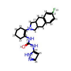 O=C(NC1=C(N2CC3Cc4ccc(F)cc4CC3C2)CCCC1)Nc1ccn[nH]1